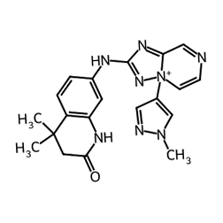 Cn1cc([N+]23C=CN=CC2=NC(Nc2ccc4c(c2)NC(=O)CC4(C)C)=N3)cn1